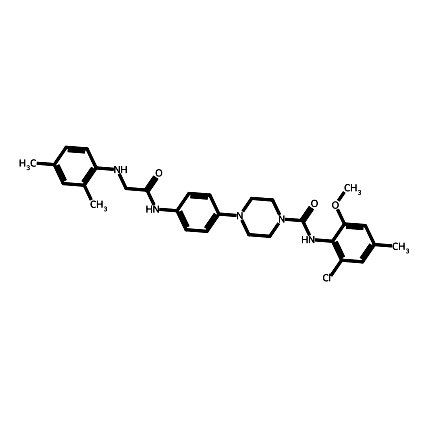 COc1cc(C)cc(Cl)c1NC(=O)N1CCN(c2ccc(NC(=O)CNc3ccc(C)cc3C)cc2)CC1